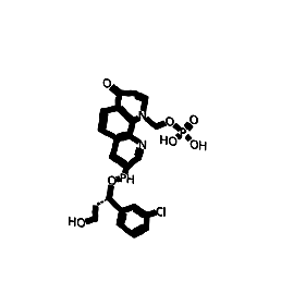 O=c1ccn(COP(=O)(O)O)c2c1ccc1cc(PO[C@@H](CCO)c3cccc(Cl)c3)cnc12